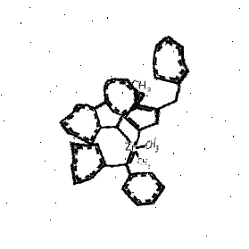 CC1=C(Cc2ccccc2)C[C]([Zr]([CH3])([CH3])(=[C](c2ccccc2)c2ccccc2)[CH]2c3ccccc3-c3ccccc32)=C1